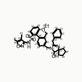 CCOCc1cc(CN2C(Cc3ccccc3)=NC3(CCCC3)C2O)ccc1-c1ccccc1S(=O)(=O)Nc1noc(C)c1C